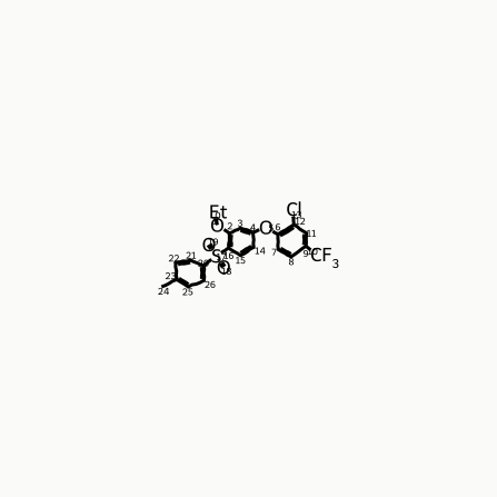 CCOc1cc(Oc2ccc(C(F)(F)F)cc2Cl)ccc1S(=O)(=O)c1ccc(C)cc1